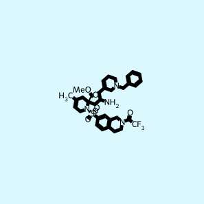 COC(=O)[C@]1(C(=O)C(N)CC2=CCCN(Cc3ccccc3)C2)CC(C)=CCN1S(=O)(=O)c1ccc2c(c1)CN(C(=O)C(F)(F)F)CC2